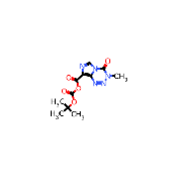 Cn1nnc2c(C(=O)OC(=O)OC(C)(C)C)ncn2c1=O